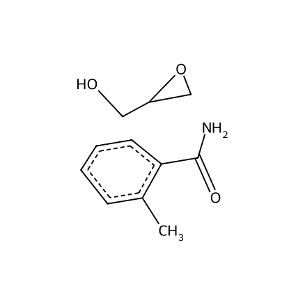 Cc1ccccc1C(N)=O.OCC1CO1